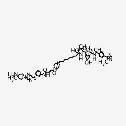 Cc1ncsc1-c1ccc([C@H](C)NC(=O)[C@@H]2C[C@@H](O)CN2C(=O)[C@@H](NC(=O)CCCCCCCCN2CCN(C(=O)/C=C/C(=O)Nc3cccc(Sc4cnc(N5CCC(C)(N)CC5)cn4)c3)CC2)C(C)(C)C)cc1